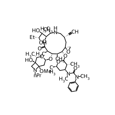 C#C[C@H]1CN[C@H](C)[C@H]([C@](C)(O)[C@H](O)CC)OC(=O)[C@H](C)[C@@H](O[C@H]2C[C@]3(OC)N(CCC)C[C@]3(O)[C@H](C)O2)[C@H](C)[C@@H](O[C@@H]2O[C@H](C)C[C@H](N(C)C(=O)N(C)c3ccccc3)[C@H]2C)[C@@]2(CO2)C1